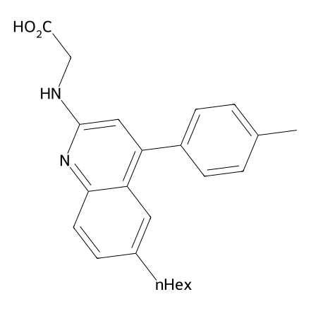 CCCCCCc1ccc2nc(NCC(=O)O)cc(-c3ccc(C)cc3)c2c1